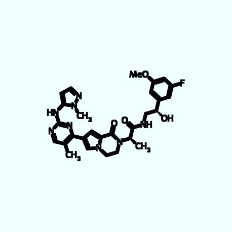 COc1cc(F)cc([C@H](O)CNC(=O)[C@@H](C)N2CCn3cc(-c4nc(Nc5ccnn5C)ncc4C)cc3C2=O)c1